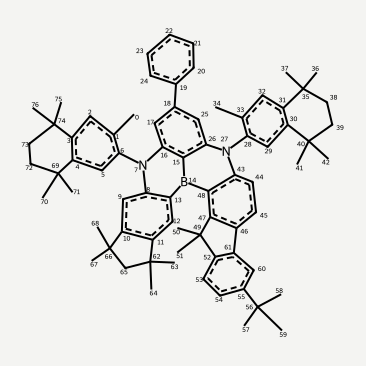 Cc1cc2c(cc1N1c3cc4c(cc3B3c5c1cc(-c1ccccc1)cc5N(c1cc5c(cc1C)C(C)(C)CCC5(C)C)c1ccc5c(c13)C(C)(C)c1ccc(C(C)(C)C)cc1-5)C(C)(C)CC4(C)C)C(C)(C)CCC2(C)C